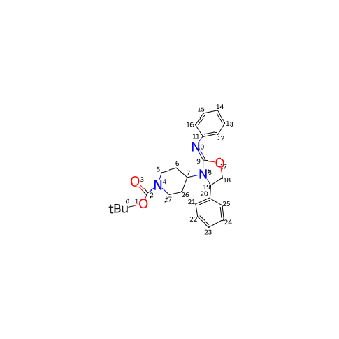 CC(C)(C)OC(=O)N1CCC(N2C(=Nc3ccccc3)OCC2c2ccccc2)CC1